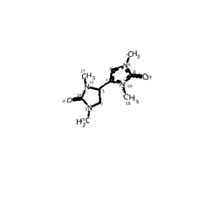 CN1CC(c2cn(C)c(=O)n2C)N(C)C1=O